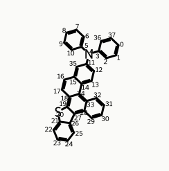 c1ccc(N(c2ccccc2)c2ccc3c(ccc4c5sc6ccccc6c5c5ccccc5c34)c2)cc1